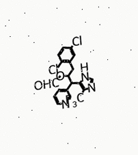 O=COC(Cc1cc(Cl)ccc1Cl)C(c1cccnc1)c1[nH]cnc1C(F)(F)F